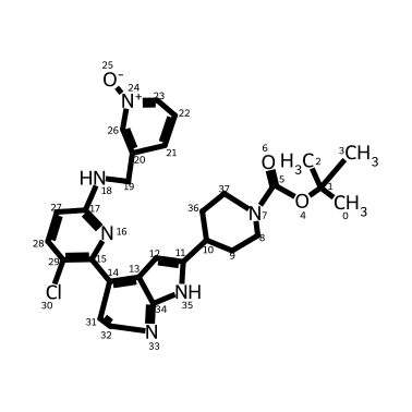 CC(C)(C)OC(=O)N1CCC(c2cc3c(-c4nc(NCc5ccc[n+]([O-])c5)ccc4Cl)ccnc3[nH]2)CC1